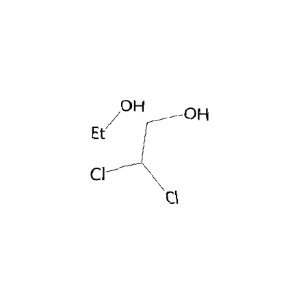 CCO.OCC(Cl)Cl